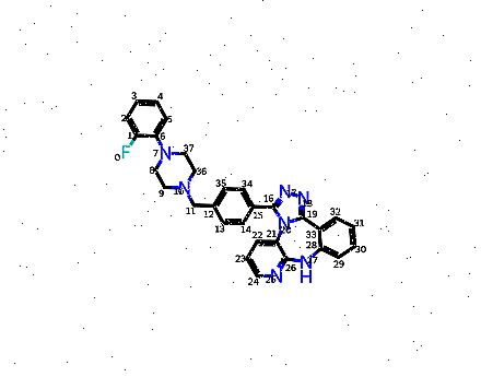 Fc1ccccc1N1CCN(Cc2ccc(-c3nnc4n3-c3cccnc3Nc3ccccc3-4)cc2)CC1